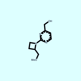 COCC1CCN1c1nccc(CO)n1